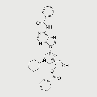 O=C(Nc1ncnc2c1ncn2[C@H]1CN(C2CCCCC2)C[C@@](CO)(COC(=O)c2ccccc2)O1)c1ccccc1